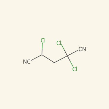 N#CC(Cl)CC(Cl)(Cl)C#N